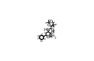 CC1(C)OCC(C)(C)[C@H](C(=O)NC(CC(O)c2ccccc2)C(N)=O)O1